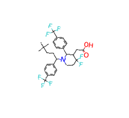 CC(C)(C)CCC(c1ccc(C(F)(F)F)cc1)N1CCC(F)(F)C(CC(=O)O)C1c1ccc(C(F)(F)F)cc1